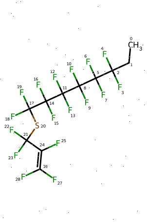 CCC(F)(F)C(F)(F)C(F)(F)C(F)(F)C(F)(F)C(F)(F)SC(F)(F)C(F)=C(F)F